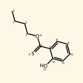 CCCCOC(=S)c1ccccc1O